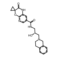 O=C(NC[C@H](O)CN1CCc2ccccc2C1)c1cnc2c(c1)NC(=O)C1(CC1)O2